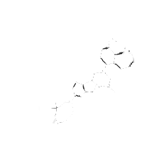 CC1CN(c2ccc(C#N)c3ncccc23)CC2c3ccc(N4CCNCC(C)(O)C4)cc3CN12